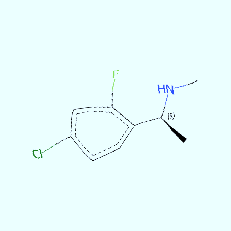 CN[C@@H](C)c1ccc(Cl)cc1F